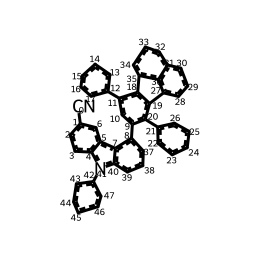 N#Cc1ccc2c(c1)c1c(-c3cc(-c4ccccc4)c4c(c3-c3ccccc3)-c3cccc5cccc-4c35)cccc1n2-c1ccccc1